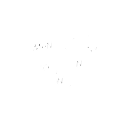 CNc1ccnnc1C(N)=O